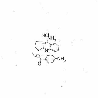 CCOC(=O)c1ccc(N)cc1.Cl.Nc1c2c(nc3ccccc13)CCCC2